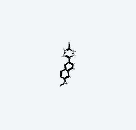 CNc1ccc2cc(-c3nnc(C)nn3)ccc2c1